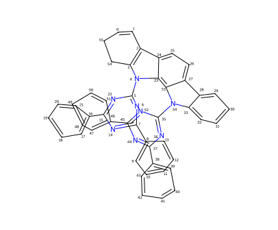 C1=Cc2c(n(-c3nc(-c4ccccc4)nc(-c4ccccc4)n3)c3c2ccc2c4ccccc4n(-c4nc(-c5ccccc5)nc(-c5ccccc5)n4)c23)CC1